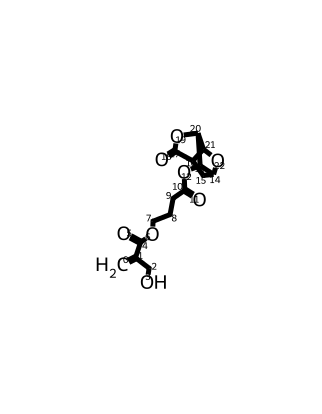 C=C(CO)C(=O)OCCCC(=O)OC1C2CC3C(=O)OC1C3O2